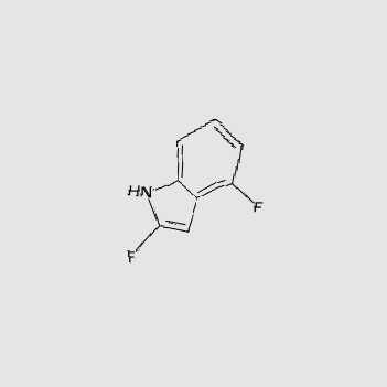 Fc1cc2c(F)cccc2[nH]1